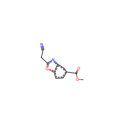 COC(=O)c1ccc2oc(CC#N)nc2c1